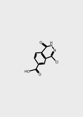 O=C(O)c1ccc2c(=O)[nH]nc(Cl)c2c1